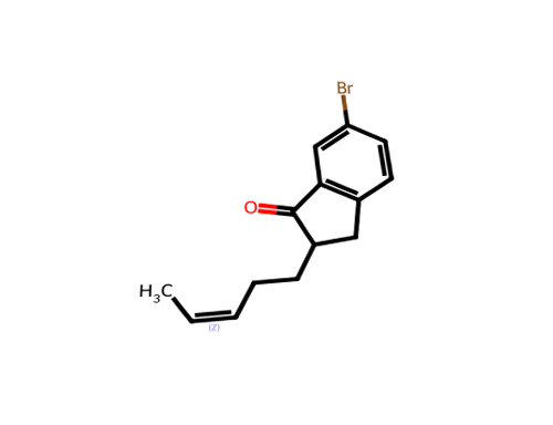 C/C=C\CCC1Cc2ccc(Br)cc2C1=O